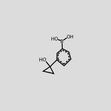 OB(O)c1cccc(C2(O)CC2)c1